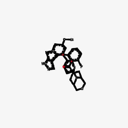 CCOc1cc(-c2ccc(N3C4COCC3CN(C(=O)c3c(F)cccc3Cl)C4)nc2)c2c3cn[nH]c3nn2c1